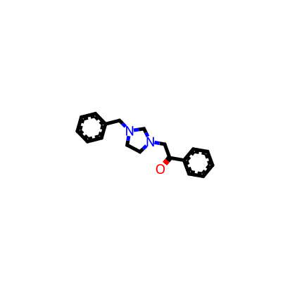 O=C(CN1CCN(Cc2ccccc2)C1)c1ccccc1